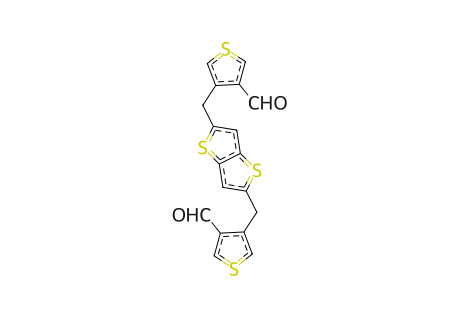 O=Cc1cscc1Cc1cc2sc(Cc3cscc3C=O)cc2s1